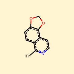 CC(C)c1nccc2c3c(ccc12)OCO3